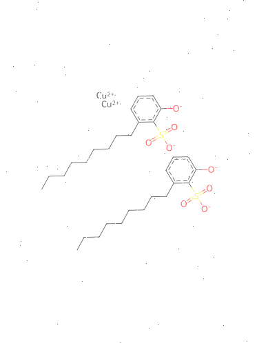 CCCCCCCCCc1cccc([O-])c1S(=O)(=O)[O-].CCCCCCCCCc1cccc([O-])c1S(=O)(=O)[O-].[Cu+2].[Cu+2]